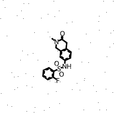 CN1Cc2cc(NS(=O)(=O)c3ccccc3F)ccc2CC1=O